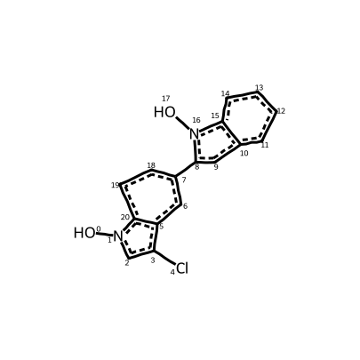 On1cc(Cl)c2cc(-c3cc4ccccc4n3O)ccc21